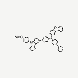 COc1ccc(-n2c3ccccc3c3cc(-c4ccc(C(c5ccc(-c6ccccc6)cc5)c5ccc6oc7ccccc7c6c5)cc4)ccc32)cc1